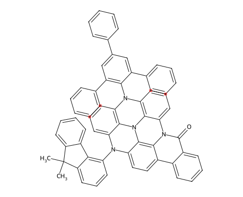 CC1(C)c2ccccc2-c2c(-n3c4cccc5c4n4c6c3ccc3c7ccccc7c(=O)n(c7cccc(c7-4)n5-c4c(-c5ccccc5)cc(-c5ccccc5)cc4-c4ccccc4)c36)cccc21